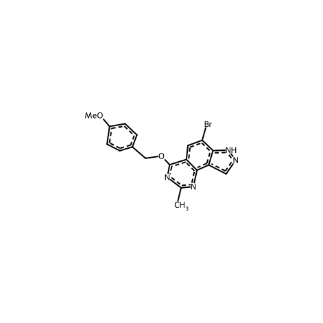 COc1ccc(COc2nc(C)nc3c2cc(Br)c2[nH]ncc23)cc1